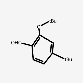 CC(C)(C)Oc1cc(C(C)(C)C)ccc1C=O